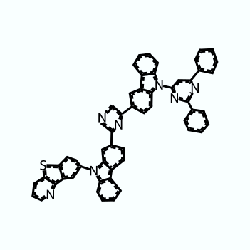 c1ccc(-c2cc(-n3c4ccccc4c4cc(-c5cncc(-c6ccc7c8ccccc8n(-c8ccc9sc%10cccnc%10c9c8)c7c6)n5)ccc43)nc(-c3ccccc3)n2)cc1